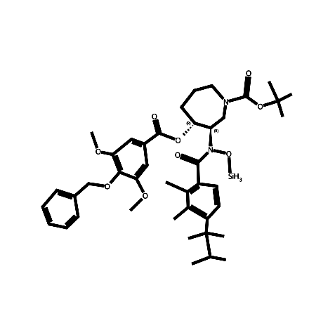 COc1cc(C(=O)O[C@@H]2CCCN(C(=O)OC(C)(C)C)C[C@H]2N(O[SiH3])C(=O)c2ccc(C(C)(C)C(C)C)c(C)c2C)cc(OC)c1OCc1ccccc1